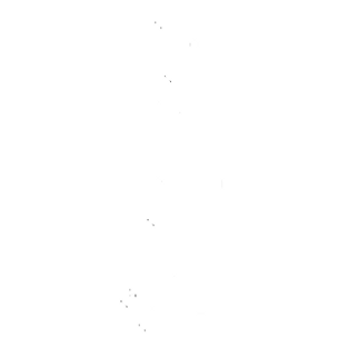 Cc1c(C2CCC3(C2)CN(CC(N)=O)C3)sc2[nH]c(-c3cc(C)c4ncnn4c3)c(C(C)C)c12